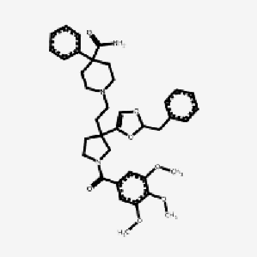 COc1cc(C(=O)N2CCC(CCN3CCC(C(N)=O)(c4ccccc4)CC3)(C3=COC(Cc4ccccc4)O3)C2)cc(OC)c1OC